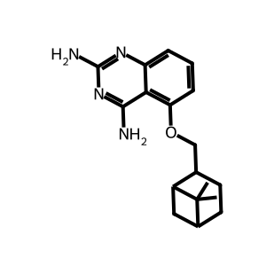 CC1(C)C2CCC(COc3cccc4nc(N)nc(N)c34)C1C2